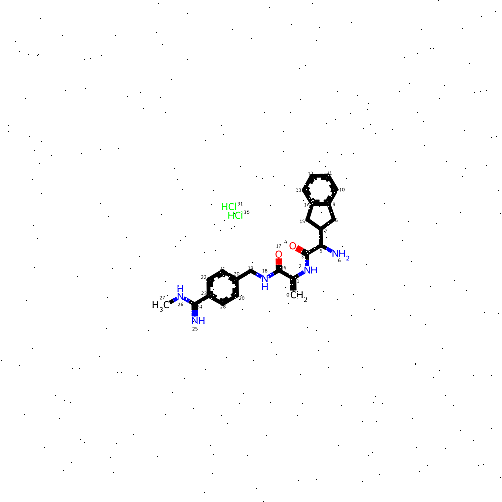 C=C(NC(=O)C(N)C1Cc2ccccc2C1)C(=O)NCc1ccc(C(=N)NC)cc1.Cl.Cl